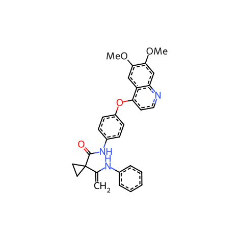 C=C(Nc1ccccc1)C1(C(=O)Nc2ccc(Oc3ccnc4cc(OC)c(OC)cc34)cc2)CC1